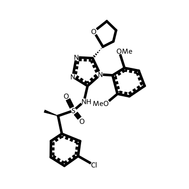 COc1cccc(OC)c1-n1c(NS(=O)(=O)[C@H](C)c2cccc(Cl)c2)nnc1[C@H]1CCCO1